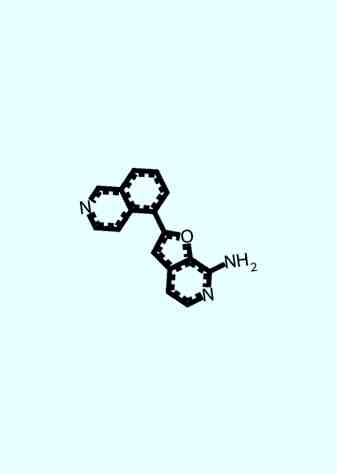 Nc1nccc2cc(-c3cccc4cnccc34)oc12